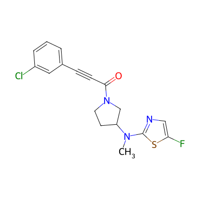 CN(c1ncc(F)s1)C1CCN(C(=O)C#Cc2cccc(Cl)c2)C1